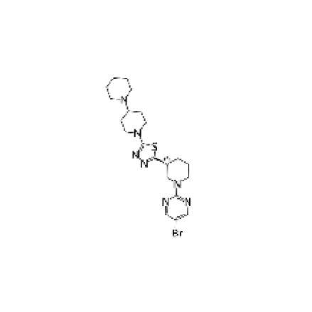 Brc1cnc(N2CCC[C@H](c3nnc(N4CCC(N5CCCCC5)CC4)s3)C2)nc1